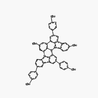 CC(C)(C)c1ccc(-c2cc3c4c(c2)c2cc(C(C)(C)C)ccc2n4B2c4c-3cc(C(C)(C)C)cc4-n3c4ccc(-c5ccc(C(C)(C)C)cc5)cc4c4cc(-c5ccc(C(C)(C)C)cc5)cc2c43)cc1